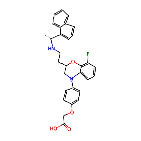 C[C@@H](NCCC1CN(c2ccc(OCC(=O)O)cc2)c2cccc(F)c2O1)c1cccc2ccccc12